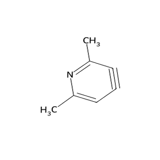 Cc1c#ccc(C)n1